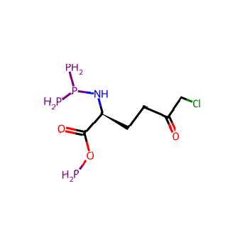 O=C(CCl)CC[C@H](NP(P)P)C(=O)OP